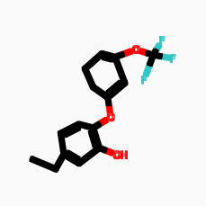 CCc1ccc(OC2=CC(OC(F)(F)F)=CCC2)c(O)c1